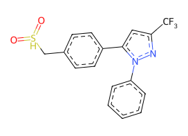 O=[SH](=O)Cc1ccc(-c2cc(C(F)(F)F)nn2-c2ccccc2)cc1